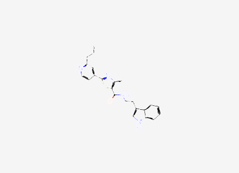 CCCc1cc(-c2nc(C)c(C(=O)NCCc3c[nH]c4ccccc34)s2)ccn1